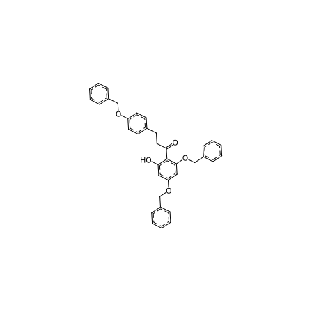 O=C(CCc1ccc(OCc2ccccc2)cc1)c1c(O)cc(OCc2ccccc2)cc1OCc1ccccc1